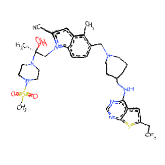 Cc1c(CN2CCC(Nc3ncnc4sc(CC(F)(F)F)cc34)CC2)ccc2c1cc(C#N)n2C[C@](C)(O)N1CCN(S(C)(=O)=O)CC1